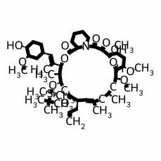 C=CC[C@@H]1/C=C(\C)C[C@H](C)C[C@H](OC)[C@H]2O[C@@](O)(C(=O)C(=O)N3CCCCC3C(=O)O[C@H](/C(C)=C/[C@@H]3CC[C@@H](O)[C@H](OC)C3)[C@H](C)[C@@H](O[Si](C)(C)C(C)(C)C)CC1=O)[C@H](C)C[C@@H]2OC